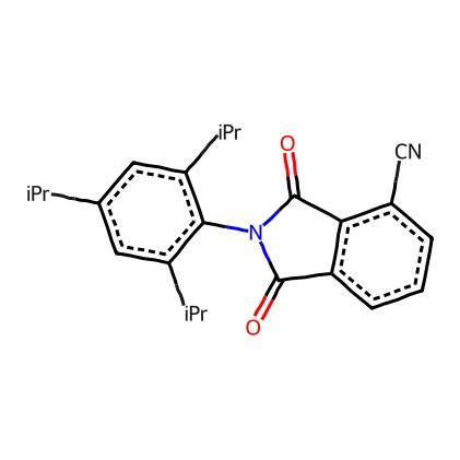 CC(C)c1cc(C(C)C)c(N2C(=O)c3cccc(C#N)c3C2=O)c(C(C)C)c1